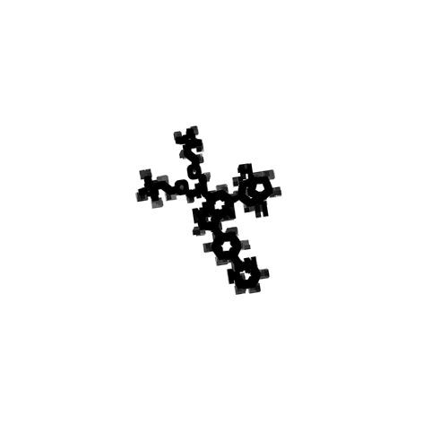 C[Si](C)(C)CCOCN(COCC[Si](C)(C)C)c1cc([C@H]2C[C@@H]3CC[C@@H](C3)C2)nc2c(-c3ccc(-c4ncccn4)cc3)cnn12